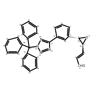 O=CC=C[C@@H]1O[C@H]1c1cccc(-c2nnn(C(c3ccccc3)(c3ccccc3)c3ccccc3)n2)c1